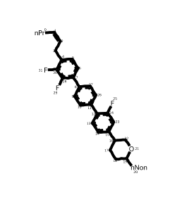 CCC/C=C\Cc1ccc(-c2ccc(-c3ccc(C4CCC(CCCCCCCCC)OC4)cc3F)cc2)c(F)c1F